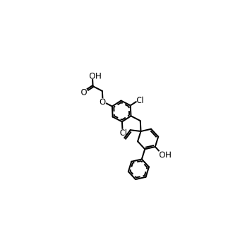 C=CC1(Cc2c(Cl)cc(OCC(=O)O)cc2Cl)C=CC(O)=C(c2ccccc2)C1